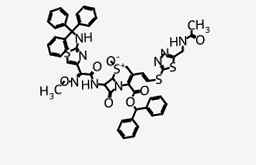 CON=C(C(=O)NC1C(=O)N2C(C(=O)OC(c3ccccc3)c3ccccc3)=C(C=CSc3nnc(CNC(C)=O)s3)C[S+]([O-])C12)c1csc(NC(c2ccccc2)(c2ccccc2)c2ccccc2)n1